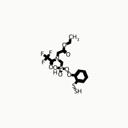 CCOC(=O)CN(CP(=O)(O)OOc1ccccc1SS)C(=O)C(F)(F)F